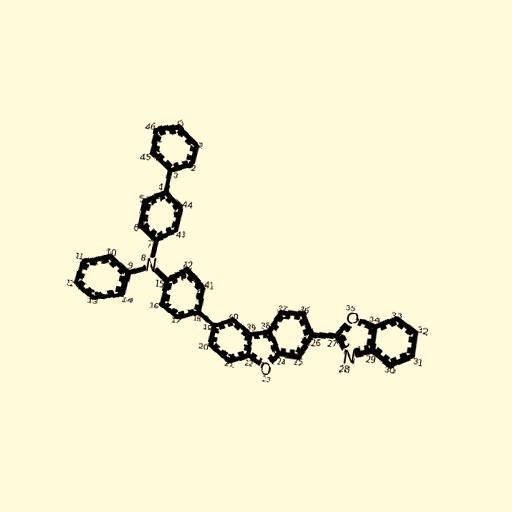 c1ccc(-c2ccc(N(c3ccccc3)c3ccc(-c4ccc5oc6cc(-c7nc8ccccc8o7)ccc6c5c4)cc3)cc2)cc1